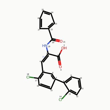 O=C(O)/C(=C\c1cc(-c2ccccc2Cl)ccc1Cl)NC(=O)c1ccccc1